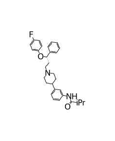 CC(C)C(=O)Nc1cccc(C2CCN(CC[C@H](Oc3ccc(F)cc3)c3ccccc3)CC2)c1